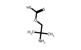 CC(C)(N)COC(=S)S